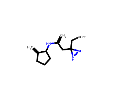 C=C(CC1(CCCCCCCCC)NN1)NC1CCCC1=C